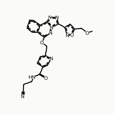 COCc1cc(-c2nnc3c4ccccc4c(OCc4ccc(C(=O)NCCC#N)cn4)nn23)no1